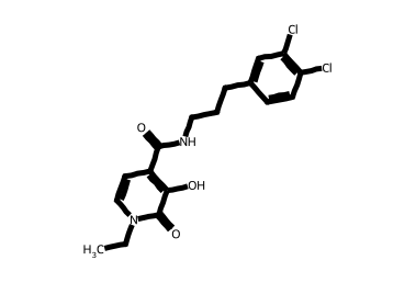 CCn1ccc(C(=O)NCCCc2ccc(Cl)c(Cl)c2)c(O)c1=O